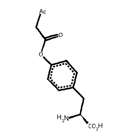 CC(=O)CC(=O)Oc1ccc(C[C@H](N)C(=O)O)cc1